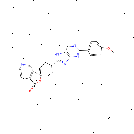 COc1ccc(-c2ncc3[nH]c([C@H]4CC[C@@]5(CC4)OC(=O)c4ccncc45)nc3n2)cc1